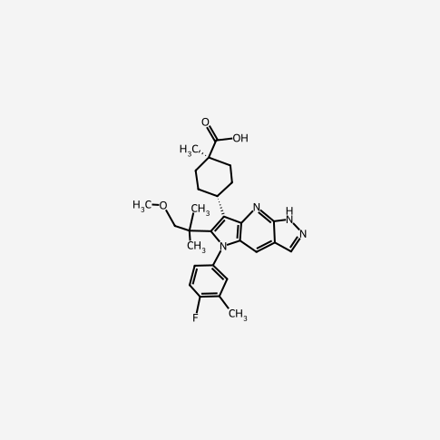 COCC(C)(C)c1c([C@H]2CC[C@](C)(C(=O)O)CC2)c2nc3[nH]ncc3cc2n1-c1ccc(F)c(C)c1